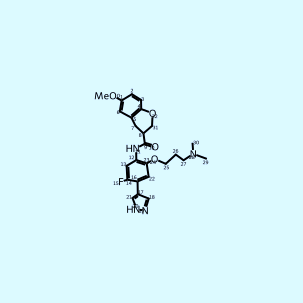 COc1ccc2c(c1)CC(C(=O)Nc1cc(F)c(-c3cn[nH]c3)cc1OCCCN(C)C)CO2